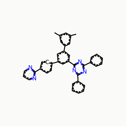 Cc1cc(C)cc(-c2cc(-c3ccc(-c4ncccn4)cc3)cc(-c3nc(-c4ccccc4)nc(-c4ccccc4)n3)c2)c1